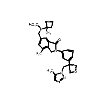 Cc1cnnn1CC1(c2cccc(N3Cc4c(cc(CN(C(=O)O)C5(C)CCC5)cc4C(F)(F)F)C3=O)c2)COC1